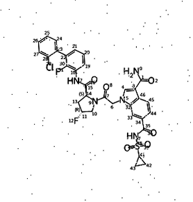 NC(=O)c1cn(CC(=O)N2C[C@H](F)C[C@H]2C(=O)Nc2cccc(-c3ccccc3Cl)c2F)c2cc(C(=O)NS(=O)(=O)C3CC3)ccc12